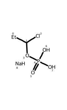 CCC(Cl)OP(=O)(O)O.[NaH]